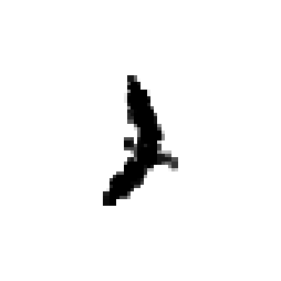 Cc1cc(-c2ccc(-c3ccc(C#N)cc3)c(F)c2)ccc1Cc1ccc(-c2ccc(-c3ccc(C#N)cc3)c(F)c2)cc1C